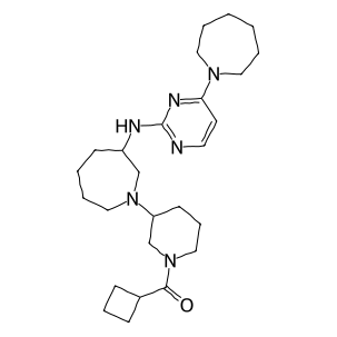 O=C(C1CCC1)N1CCCC(N2CCCCC(Nc3nccc(N4CCCCCC4)n3)C2)C1